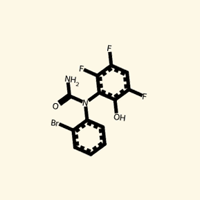 NC(=O)N(c1ccccc1Br)c1c(O)c(F)cc(F)c1F